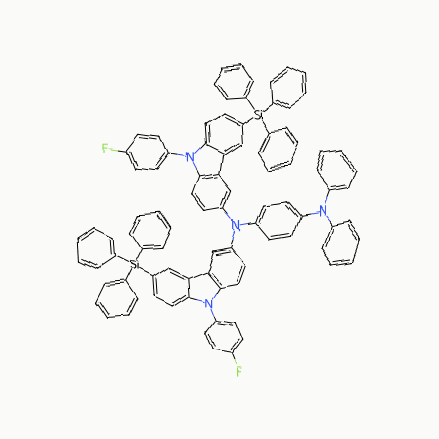 Fc1ccc(-n2c3ccc(N(c4ccc(N(c5ccccc5)c5ccccc5)cc4)c4ccc5c(c4)c4cc([Si](c6ccccc6)(c6ccccc6)c6ccccc6)ccc4n5-c4ccc(F)cc4)cc3c3cc([Si](c4ccccc4)(c4ccccc4)c4ccccc4)ccc32)cc1